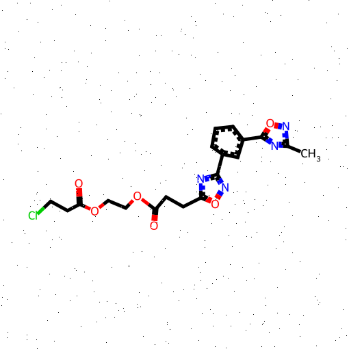 Cc1noc(-c2cccc(-c3noc(CCC(=O)OCCOC(=O)CCCl)n3)c2)n1